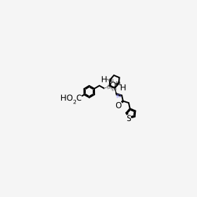 O=C(/C=C/[C@H]1[C@H](CCc2ccc(C(=O)O)cc2)[C@H]2CC[C@@H]1O2)Cc1ccsc1